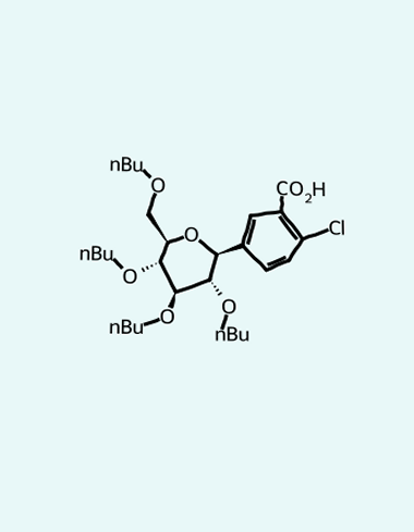 CCCCOC[C@H]1O[C@@H](c2ccc(Cl)c(C(=O)O)c2)[C@H](OCCCC)[C@@H](OCCCC)[C@@H]1OCCCC